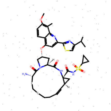 COc1ccc2c(O[C@@H]3C[C@H]4C(=O)N[C@]5(C(=O)NS(=O)(=O)C6CC6)C[C@H]5/C=C\CCCCC[C@H](N)C(=O)N4C3)cc(-c3nc(C(C)C)cs3)nc2c1C